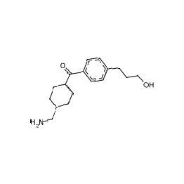 NCC1CCC(C(=O)c2ccc(CCCO)cc2)CC1